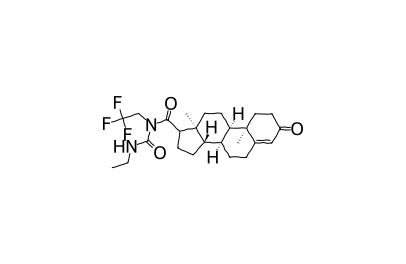 CCNC(=O)N(CC(F)(F)F)C(=O)C1CC[C@H]2[C@@H]3CCC4=CC(=O)CC[C@]4(C)[C@@H]3CC[C@]12C